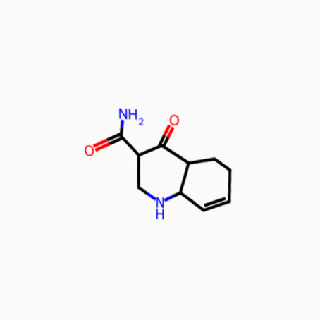 NC(=O)C1CNC2C=CCCC2C1=O